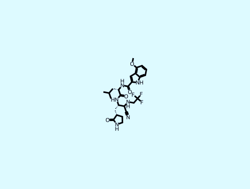 COc1cccc2[nH]c(C(=O)N[C@@H](CC(C)C)C(=O)N[C@@H](C[C@@H]3CCNC3=O)C(C#N)NCC(F)(F)F)cc12